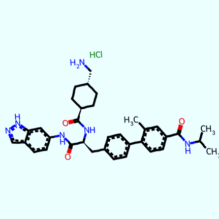 Cc1cc(C(=O)NC(C)C)ccc1-c1ccc(C[C@H](NC(=O)[C@H]2CC[C@H](CN)CC2)C(=O)Nc2ccc3cn[nH]c3c2)cc1.Cl